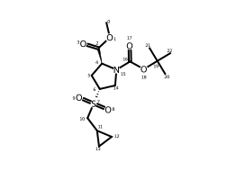 COC(=O)[C@@H]1C[C@@H](S(=O)(=O)CC2CC2)CN1C(=O)OC(C)(C)C